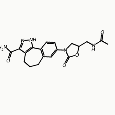 CC(=O)NCC1CN(c2ccc3c(c2)CCCc2c(C(N)=O)n[nH]c2-3)C(=O)O1